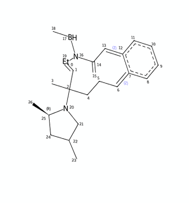 C=CC(C)(CC/C=c1/cccc/c1=C/C(=C)N(BC)CC)N1CC(C)C[C@H]1C